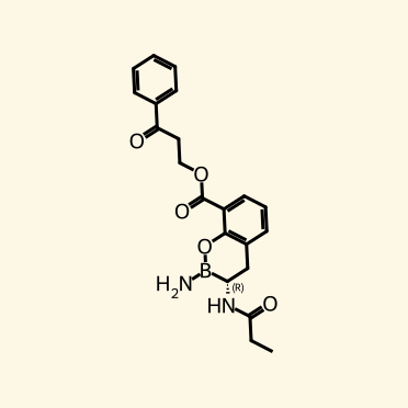 CCC(=O)N[C@H]1Cc2cccc(C(=O)OCCC(=O)c3ccccc3)c2OB1N